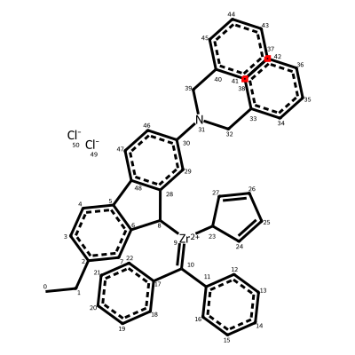 CCc1ccc2c(c1)[CH]([Zr+2](=[C](c1ccccc1)c1ccccc1)[CH]1C=CC=C1)c1cc(N(Cc3ccccc3)Cc3ccccc3)ccc1-2.[Cl-].[Cl-]